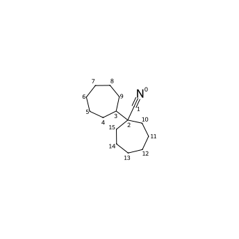 N#CC1(C2CCCCCC2)CCCCCC1